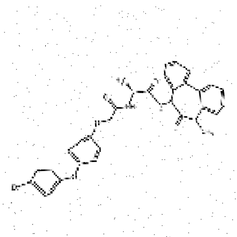 CCc1ccc(Oc2ccc(OCC(=O)N[C@@H](C)C(=O)NN3C(=O)C(C)c4ccccc4-c4ccccc43)cc2)cc1